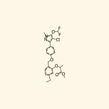 CCc1ccc(COc2ccc(-c3nn(C)c(OC(F)F)c3Cl)cc2)c(OC(C)C(=O)OC)c1